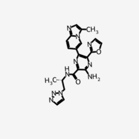 Cc1cnc2ccc(-c3nc(C(=O)N[C@@H](C)Cn4ccnn4)c(N)nc3-c3ncco3)cn12